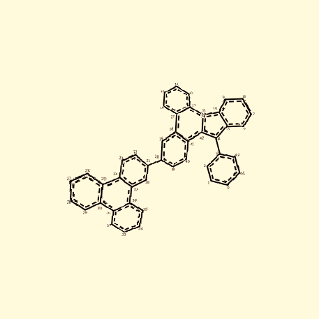 c1ccc(-c2c3ccccc3n3c4ccccc4c4cc(-c5ccc6c7ccccc7c7ccccc7c6c5)ccc4c23)cc1